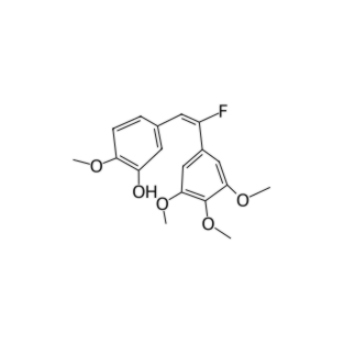 COc1ccc(/C=C(/F)c2cc(OC)c(OC)c(OC)c2)cc1O